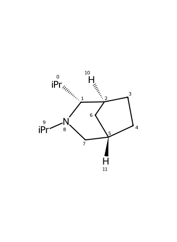 CC(C)[C@@H]1[C@H]2CC[C@@H](C2)CN1C(C)C